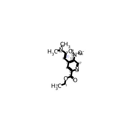 CCOC(=O)c1cc(/C=C/N(C)C)c([N+](=O)[O-])cn1